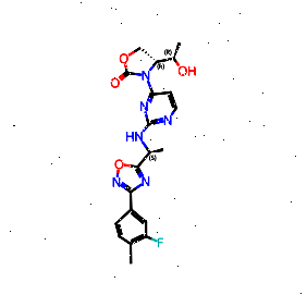 Cc1ccc(-c2noc([C@H](C)Nc3nccc(N4C(=O)OC[C@@H]4[C@@H](C)O)n3)n2)cc1F